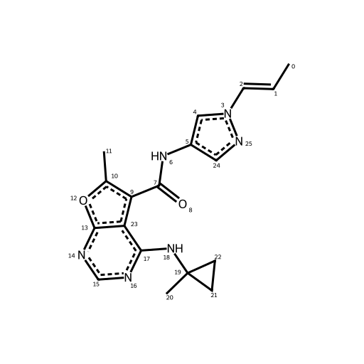 C/C=C/n1cc(NC(=O)c2c(C)oc3ncnc(NC4(C)CC4)c23)cn1